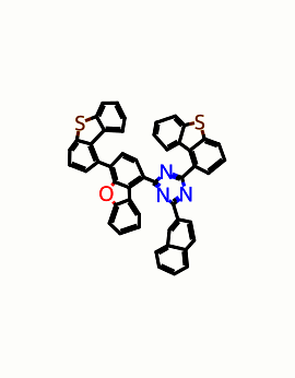 c1ccc2cc(-c3nc(-c4cccc5sc6ccccc6c45)nc(-c4ccc(-c5cccc6sc7ccccc7c56)c5oc6ccccc6c45)n3)ccc2c1